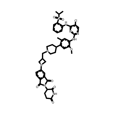 COc1cc(C2CCN(CC3CN(c4ccc5c(c4)C(=O)N(C4CCC(=O)NC4=O)C5=O)C3)CC2)c(C)cc1Nc1ncc(Cl)c(Nc2ccccc2S(=O)(=O)C(C)C)n1